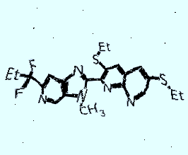 CCSc1cnc2nc(-c3nc4cc(C(F)(F)CC)ncc4n3C)c(SCC)cc2c1